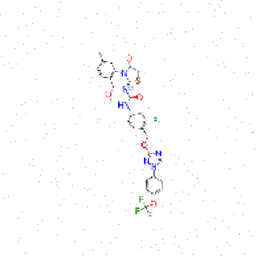 COCc1ccc(C)cc1N1C(=O)CS/C1=N\C(=O)Nc1ccc(COc2ncn(-c3ccc(OC(F)(F)F)cc3)n2)c(F)c1